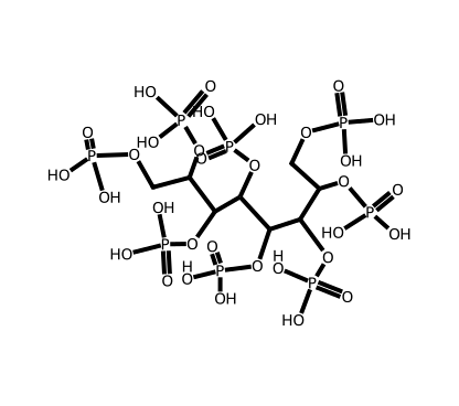 O=P(O)(O)OCC(OP(=O)(O)O)C(OP(=O)(O)O)C(OP(=O)(O)O)C(OP(=O)(O)O)C(OP(=O)(O)O)C(COP(=O)(O)O)OP(=O)(O)O